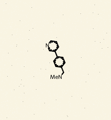 CNCc1ccc(-c2cccnc2)cc1